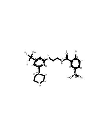 O=C(NCCOc1cc(C(F)(F)F)cc(N2CCOCC2)n1)c1cc([N+](=O)[O-])ccc1Cl